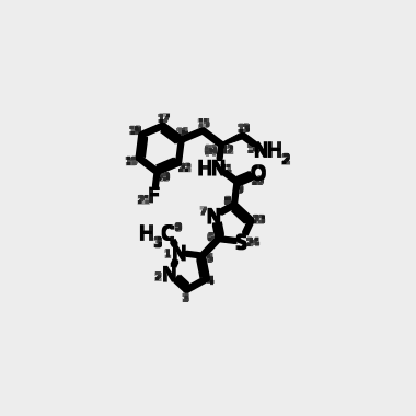 Cn1nccc1-c1nc(C(=O)N[C@H](CN)Cc2cccc(F)c2)cs1